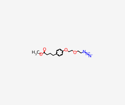 COC(=O)CCCc1ccc(OCCOCCN=[N+]=[N-])cc1